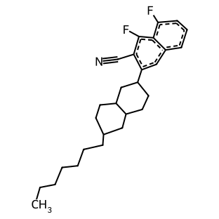 CCCCCCCC1CCC2CC(c3cc4cccc(F)c4c(F)c3C#N)CCC2C1